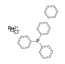 [Cl-].[Cl-].[Ru+2].c1ccc(P(c2ccccc2)c2ccccc2)cc1.c1ccccc1